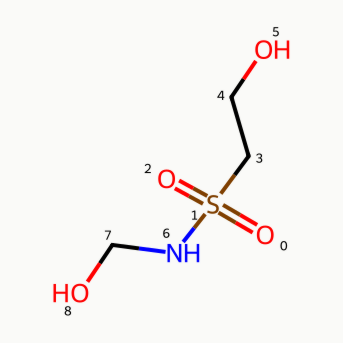 O=S(=O)(CCO)NCO